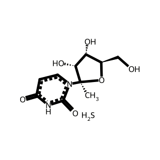 C[C@@]1(n2ccc(=O)[nH]c2=O)O[C@H](CO)[C@@H](O)[C@H]1O.S